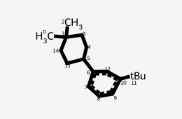 CC1(C)CCC(c2cccc(C(C)(C)C)c2)CC1